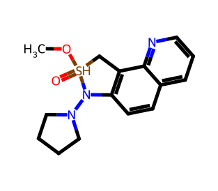 CO[SH]1(=O)Cc2c(ccc3cccnc23)N1N1CCCC1